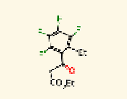 CCOC(=O)CC(=O)c1c(F)c(F)c(F)c(F)c1CC